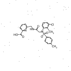 Cc1ccc(S(=O)(=O)N(CC(=O)NCc2cccc(C(=O)O)n2)c2cccc(Cl)c2C)cc1